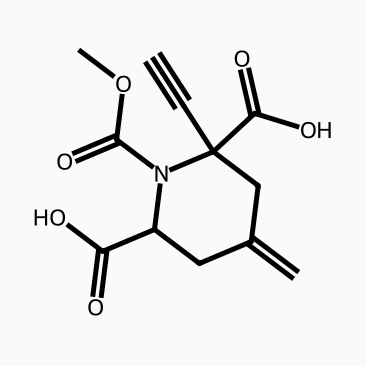 C#CC1(C(=O)O)CC(=C)CC(C(=O)O)N1C(=O)OC